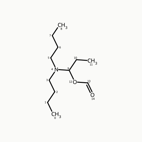 CCCCN(CCCC)C(CC)O[C]=O